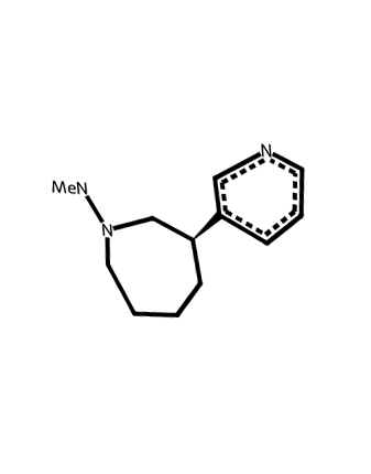 CNN1CCCC[C@H](c2cccnc2)C1